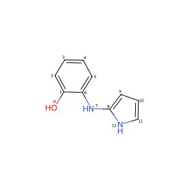 Oc1ccccc1Nc1ccc[nH]1